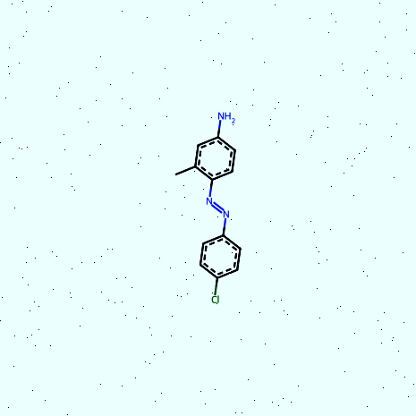 Cc1cc(N)ccc1N=Nc1ccc(Cl)cc1